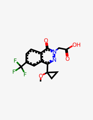 COC1(c2nn(CC(=O)O)c(=O)c3ccc(C(F)(F)F)cc23)CC1